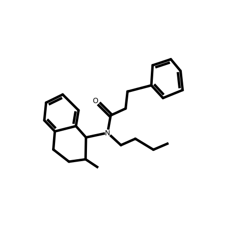 CCCCN(C(=O)CCc1ccccc1)C1c2ccccc2CCC1C